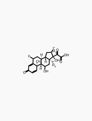 CC1C[C@H]2[C@@H]3CC(F)C4=CC(=O)C=C[C@]4(C)[C@H]3C(O)C[C@]2(C)[C@@]1(O)C(=O)C(=O)O